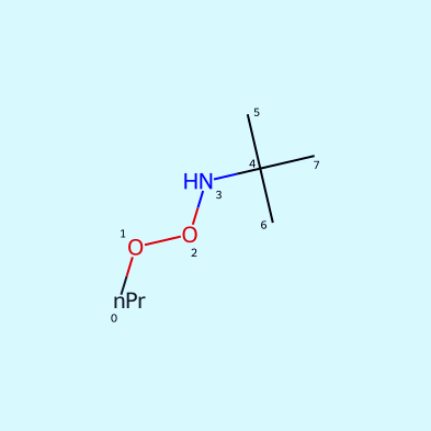 CCCOONC(C)(C)C